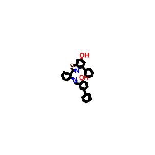 Oc1cc(-c2ccccc2)c2nc(-c3ccccc3/N=C/c3cc(-c4ccccc4)ccc3O)sc2c1